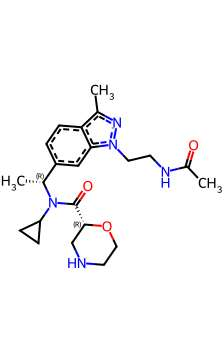 CC(=O)NCCn1nc(C)c2ccc([C@@H](C)N(C(=O)[C@H]3CNCCO3)C3CC3)cc21